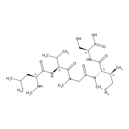 CC[C@H](C)[C@@H](C(=O)N[C@@H](CO)C(=O)O)N(C)C(=O)CN(C)C(=O)[C@@H](NC(=O)[C@H](CC(C)C)NC)C(C)C